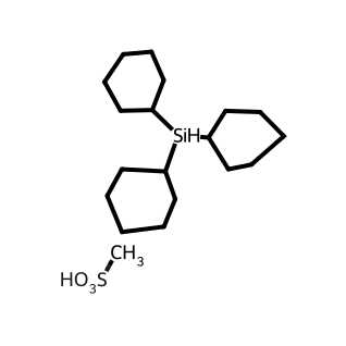 C1CCC([SiH](C2CCCCC2)C2CCCCC2)CC1.CS(=O)(=O)O